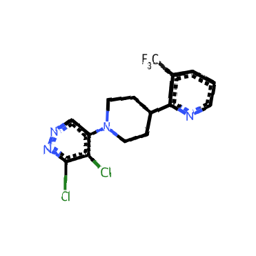 FC(F)(F)c1cccnc1C1CCN(c2cnnc(Cl)c2Cl)CC1